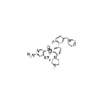 CN1CCN(c2ccc(-c3cc(CN4CCOCC4)ccc3F)cc2NC(=O)c2cnc(N)cc2C(F)(F)F)CC1